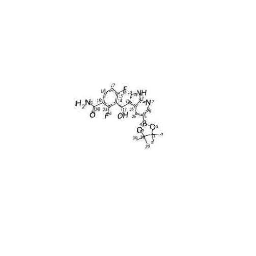 CC1(C)OB(c2cnc3[nH]cc(C(O)c4c(F)ccc(C(N)=O)c4F)c3c2)OC1(C)C